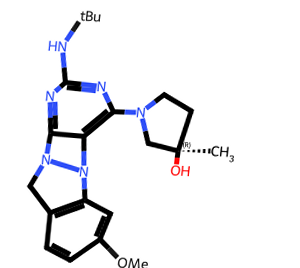 COc1ccc2c(c1)-n1c3c(N4CC[C@@](C)(O)C4)nc(NC(C)(C)C)nc3n1C2